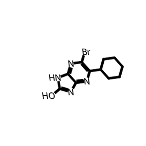 Oc1nc2nc(C3CCCCC3)c(Br)nc2[nH]1